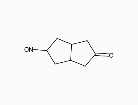 O=NC1CC2CC(=O)CC2C1